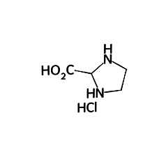 Cl.O=C(O)C1NCCN1